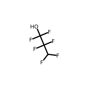 OC(F)(F)C(F)(F)[C](F)F